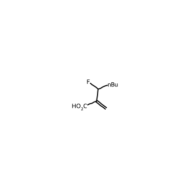 C=C(C(=O)O)C(F)CCCC